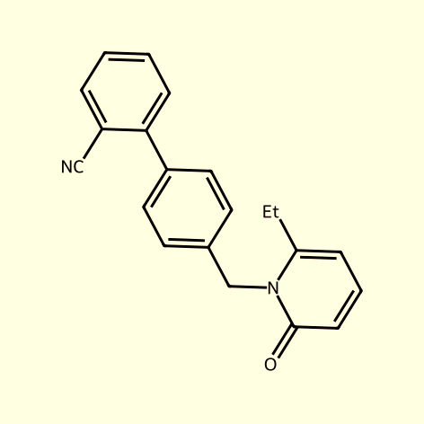 CCc1cccc(=O)n1Cc1ccc(-c2ccccc2C#N)cc1